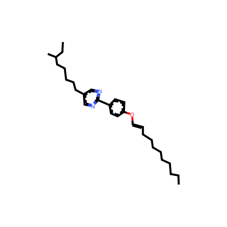 CCCCCCCCCC=COc1ccc(-c2ncc(CCCCCC(C)CC)cn2)cc1